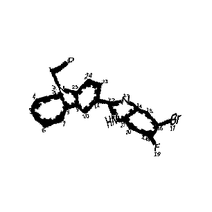 CCn1c2ccccc2c2cc(-c3nc4cc(Br)c(F)cc4[nH]3)ccc21